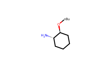 CCCCO[C@H]1CCCC[C@@H]1N